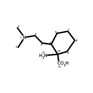 CN(C)CCC1CCCCC1(N)C(=O)O